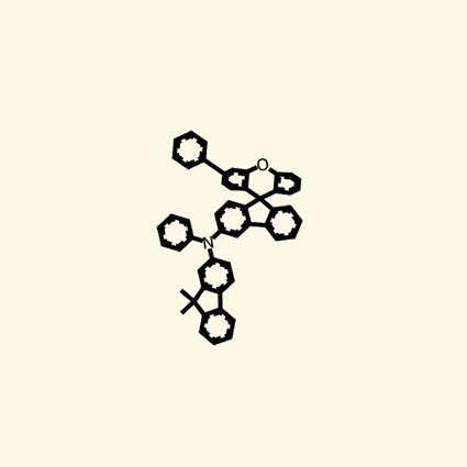 CC1(C)c2ccccc2-c2ccc(N(c3ccccc3)c3ccc4c(c3)-c3ccccc3C43c4ccccc4Oc4cc(-c5ccccc5)ccc43)cc21